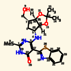 CSc1nc(N[C@@H]2C[C@H](CO)[C@H]3OC(C)(C)O[C@H]32)c(-c2nc3ccccc3s2)c(=O)[nH]1